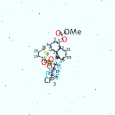 COC(=O)Oc1ccc(S2(OS(=O)(=O)C(F)(F)C(F)(F)C(F)(F)C(F)(F)F)CCCC2)c2ccccc12